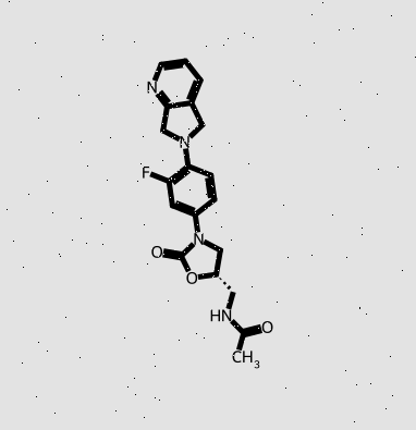 CC(=O)NC[C@H]1CN(c2ccc(N3Cc4cccnc4C3)c(F)c2)C(=O)O1